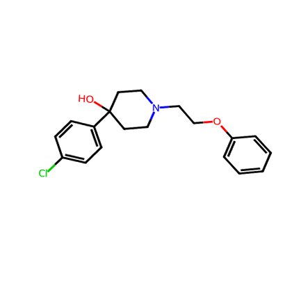 OC1(c2ccc(Cl)cc2)CCN(CCOc2ccccc2)CC1